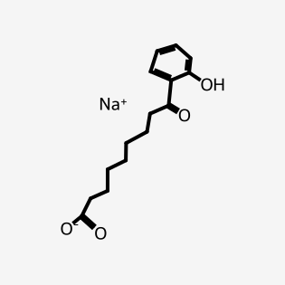 O=C([O-])CCCCCCCC(=O)c1ccccc1O.[Na+]